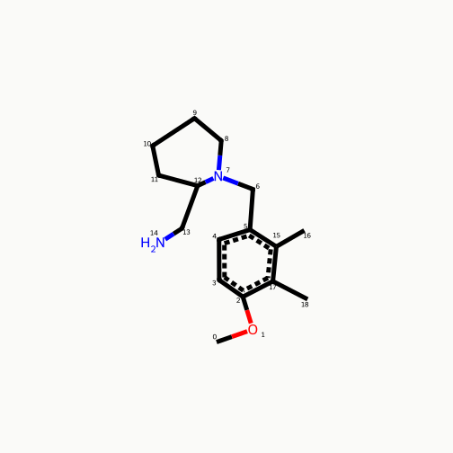 COc1ccc(CN2CCCCC2CN)c(C)c1C